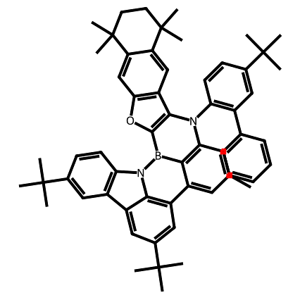 Cc1cc2c3c(c1)N(c1ccc(C(C)(C)C)cc1-c1ccccc1)c1c(oc4cc5c(cc14)C(C)(C)CCC5(C)C)B3n1c3ccc(C(C)(C)C)cc3c3cc(C(C)(C)C)cc-2c31